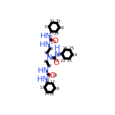 O=C(NCCN(CCNC(=O)NC1CCCCC1)C(=O)NC1CCCCC1)NC1CCCCC1